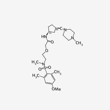 COc1cc(C)c(S(=O)(=O)N(C)CCOCC(=O)N[C@H]2CC[C@@H](CN3CCN(C)CC3)C2)c(C)c1